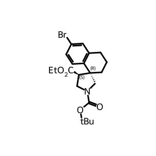 CCOC(=O)[C@@H]1CN(C(=O)OC(C)(C)C)C[C@]12CCCc1cc(Br)ccc12